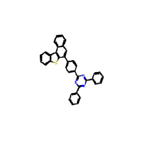 c1ccc(-c2nc(-c3ccccc3)nc(-c3ccc(-c4cc5ccccc5c5c4sc4ccccc45)cc3)n2)cc1